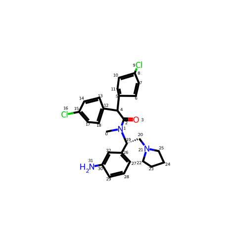 CN(C(=O)C(c1ccc(Cl)cc1)c1ccc(Cl)cc1)[C@H](CN1CCCC1)c1cccc(N)c1